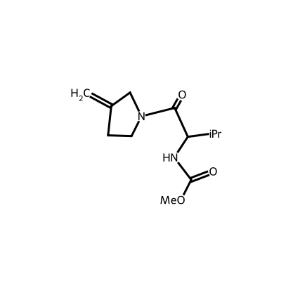 C=C1CCN(C(=O)C(NC(=O)OC)C(C)C)C1